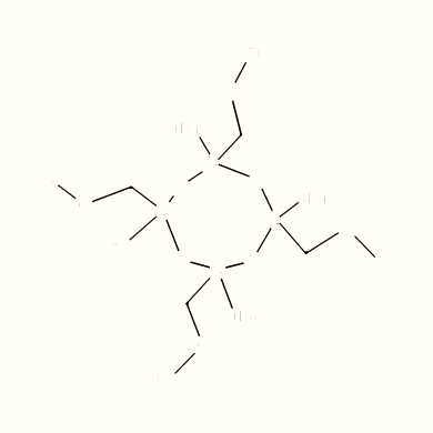 CCOC[Si]1(C(C)(C)C)O[Si](COCC)(C(C)(C)C)O[Si](COCC)(C(C)(C)C)O[Si](COCC)(C(C)(C)C)O1